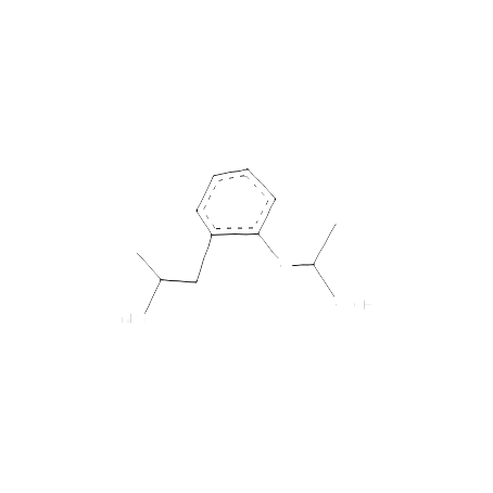 CCCCC(CC)Cc1ccccc1OC(C)C(=O)O